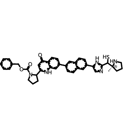 C[C@@]1(C(S)c2ncc(-c3ccc4cc(-c5ccc6c(=O)cc(C7CCCN7C(=O)OCc7ccccc7)[nH]c6c5)ccc4c3)[nH]2)CCCN1